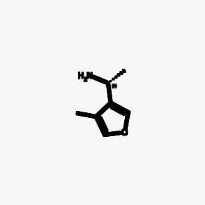 Cc1cocc1[C@@H](C)N